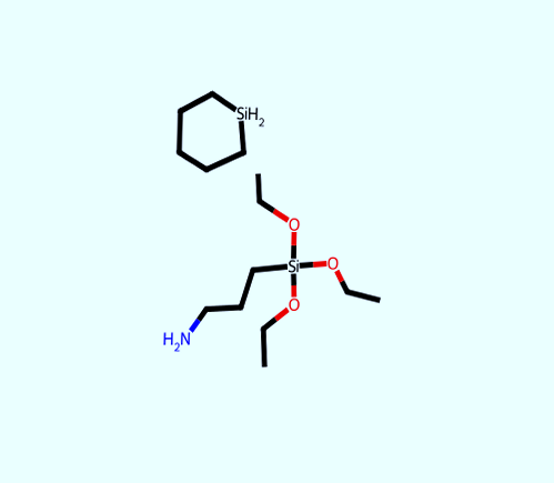 C1CC[SiH2]CC1.CCO[Si](CCCN)(OCC)OCC